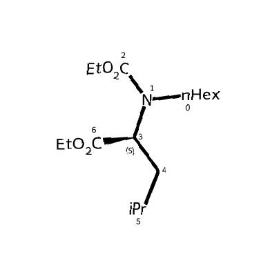 CCCCCCN(C(=O)OCC)[C@@H](CC(C)C)C(=O)OCC